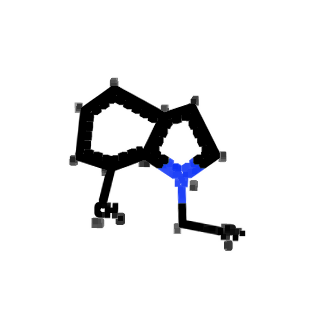 C[C](C)Cn1ccc2cccc(C)c21